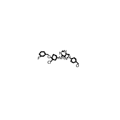 O=Cc1ccc(-n2cc3ncnc(Nc4ccc(OCc5cccc(F)c5)c(Cl)c4)c3n2)cc1